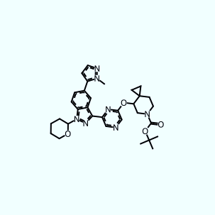 Cn1nccc1-c1ccc2c(c1)c(-c1cncc(OC3CN(C(=O)OC(C)(C)C)CCC34CC4)n1)nn2C1CCCCO1